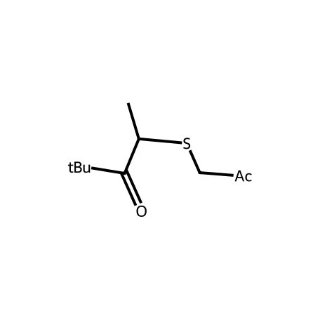 CC(=O)CSC(C)C(=O)C(C)(C)C